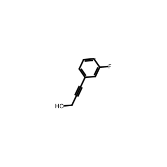 OCC#Cc1cc[c]c(F)c1